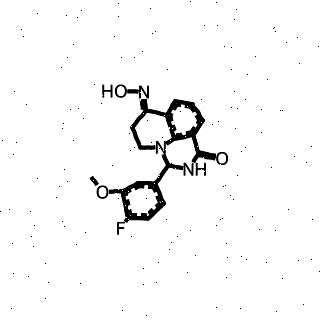 COc1cc(C2NC(=O)c3cccc4c3N2CC/C4=N\O)ccc1F